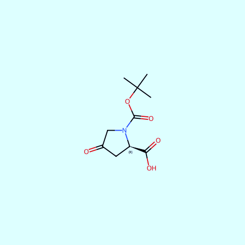 CC(C)(C)OC(=O)N1CC(=O)C[C@@H]1C(=O)O